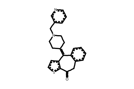 O=C1Cc2ccccc2C(=C2CCN(Cc3cccnc3)CC2)c2ccsc21